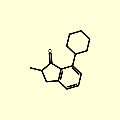 CC1Cc2cccc(C3CCCCC3)c2C1=O